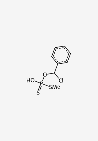 CSP(O)(=S)OC(Cl)c1ccccc1